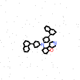 c1ccc2c(-c3ccc(N(c4ccc(-c5cccc6ccccc56)cc4)c4cccc5oc6cnccc6c45)cc3)cccc2c1